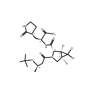 C[C@H](CC(=O)N1C[C@H]2[C@@H]([C@H]1C(=O)N[C@@H](C[C@@H]1CCNC1=O)C(N)=O)C2(Cl)Cl)OC(C)(C)C